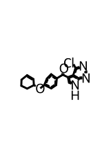 O=C(c1ccc(OC2C=CCCC2)cc1)c1c[nH]c2ncnc(Cl)c12